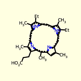 CCc1c(C)c2cc3[nH]c(cc4nc(c(C)c5nc(cc1[nH]2)C(C)=C5)C(CCC(=O)O)=C4C)c(C)c3CC